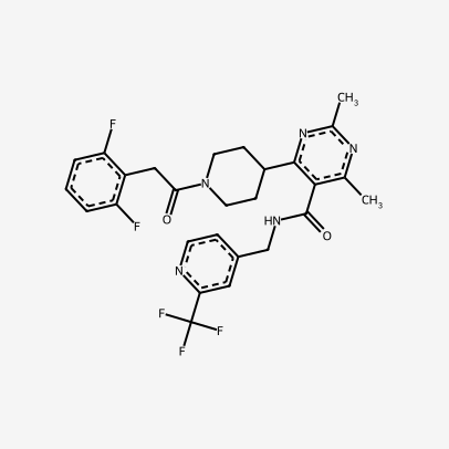 Cc1nc(C)c(C(=O)NCc2ccnc(C(F)(F)F)c2)c(C2CCN(C(=O)Cc3c(F)cccc3F)CC2)n1